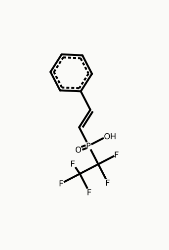 O=P(O)(C=Cc1ccccc1)C(F)(F)C(F)(F)F